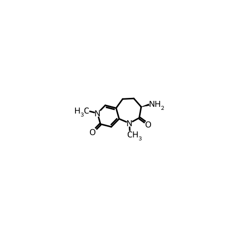 CN1C(=O)[C@H](N)CCc2cn(C)c(=O)cc21